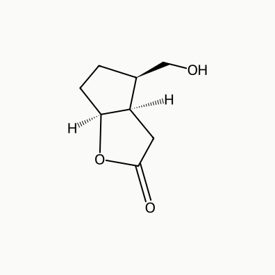 O=C1C[C@@H]2[C@H](CO)CC[C@@H]2O1